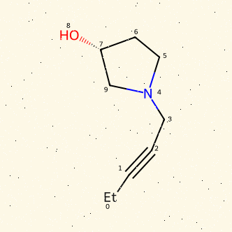 CCC#CCN1CC[C@@H](O)C1